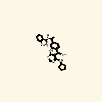 COc1ccccc1C(=O)NC(C)c1ccc(C(=N)c2c(N)ncnc2NC2CCCC2)cc1